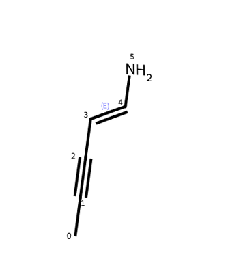 CC#C/C=C/N